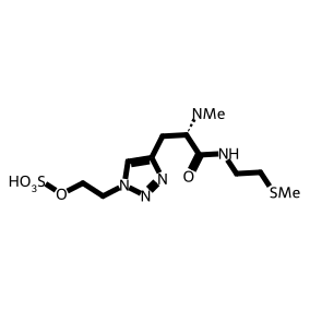 CN[C@@H](Cc1cn(CCOS(=O)(=O)O)nn1)C(=O)NCCSC